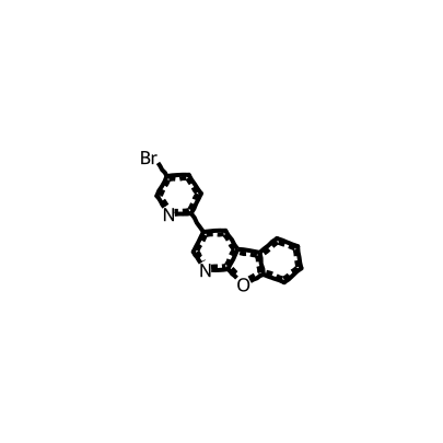 Brc1ccc(-c2cnc3oc4ccccc4c3c2)nc1